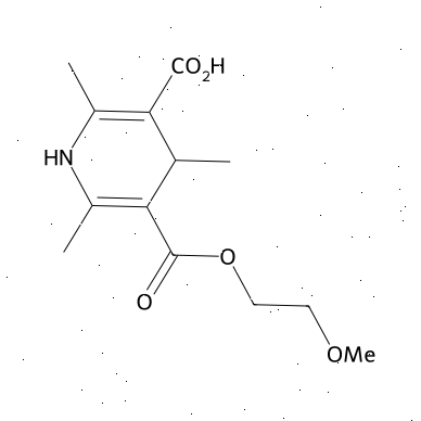 COCCOC(=O)C1=C(C)NC(C)=C(C(=O)O)C1C